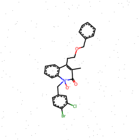 CC1=C(CCOCc2ccccc2)c2ccccc2[N+]([O-])(Cc2ccc(Br)c(Cl)c2)C1=O